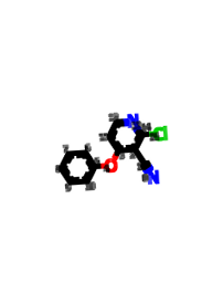 N#Cc1c(Oc2ccccc2)ccnc1Cl